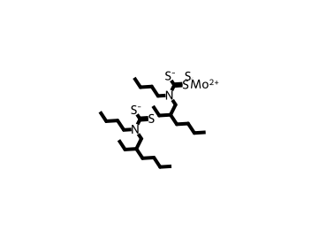 CCCCC(CC)CN(CCCC)C(=S)[S-].CCCCC(CC)CN(CCCC)C(=S)[S-].[S]=[Mo+2]